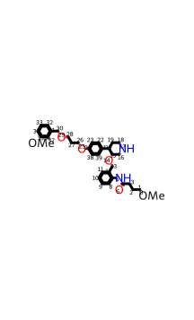 COCCCC(=O)Nc1ccccc1COC1CNCCC1c1ccc(OCCCOCc2ccccc2OC)cc1